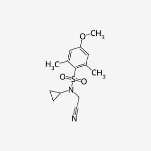 COc1cc(C)c(S(=O)(=O)N(CC#N)C2CC2)c(C)c1